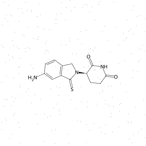 Nc1ccc2c(c1)C(=S)N([C@@H]1CCC(=O)NC1=O)C2